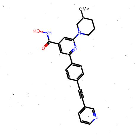 COC1CCCN(c2cc(C(=O)NO)cc(-c3ccc(C#Cc4cccnc4)cc3)n2)C1